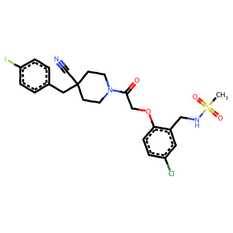 CS(=O)(=O)NCc1cc(Cl)ccc1OCC(=O)N1CCC(C#N)(Cc2ccc(F)cc2)CC1